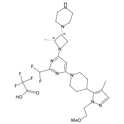 COCCn1ncc(C)c1C1CCN(c2cc(N3C[C@@H](N4CCNCC4)[C@H]3C)nc(C(F)F)n2)CC1.O=C(O)C(F)(F)F